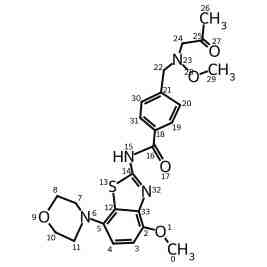 COc1ccc(N2CCOCC2)c2sc(NC(=O)c3ccc(CN(CC(C)=O)OC)cc3)nc12